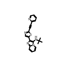 CC(C)(C)Nc1c(-c2cnc(C#Cc3ccccn3)s2)nc2ccccn12